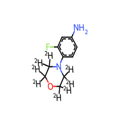 [2H]C1([2H])OC([2H])([2H])C([2H])([2H])N(c2ccc(N)cc2F)C1([2H])[2H]